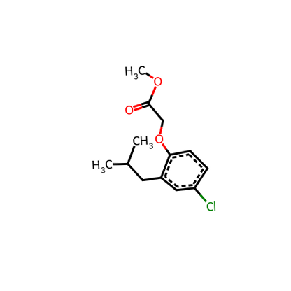 COC(=O)COc1ccc(Cl)cc1CC(C)C